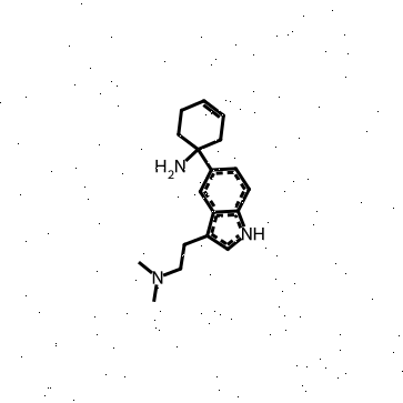 CN(C)CCc1c[nH]c2ccc(C3(N)CC=CCC3)cc12